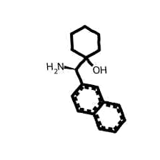 N[C@H](c1ccc2ccccc2c1)C1(O)CCCCC1